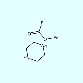 C1CNCCN1.CCOC(=O)F